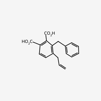 C=CCc1ccc(C(=O)O)c(C(=O)O)c1Cc1ccccc1